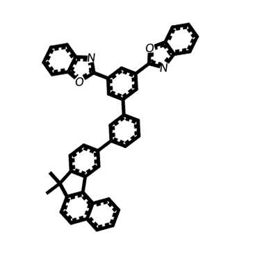 CC1(C)c2ccc(-c3cccc(-c4cc(-c5nc6ccccc6o5)cc(-c5nc6ccccc6o5)c4)c3)cc2-c2c1ccc1ccccc21